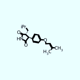 CC(C)=CCOc1ccc([C@H]2C(=O)NC(=O)[C@@H]2CC(C)C)cc1